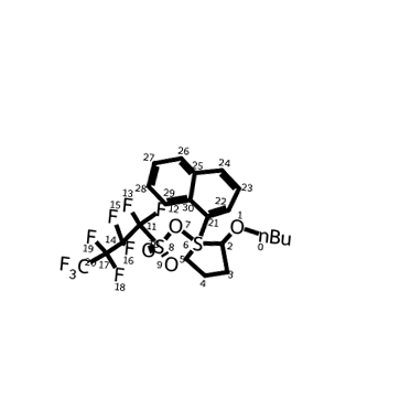 CCCCOC1CCCS1(OS(=O)(=O)C(F)(F)C(F)(F)C(F)(F)C(F)(F)F)c1cccc2ccccc12